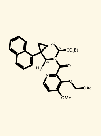 CCOC(=O)[C@H](C)N(C(=O)c1nccc(OC)c1OCOC(C)=O)[C@@H](C)C1(c2cccc3ccccc23)CC1